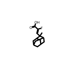 CC1(C=C(F)C(=O)O)C2CC3CC(C2)CC1C3